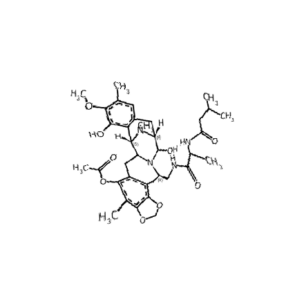 COc1c(C)cc2c(c1O)[C@H]1C3Cc4c(OC(C)=O)c(C)c5c(c4[C@H](CNC(=O)C(C)NC(=O)CC(C)C)N3C(O)[C@@H](C2)N1C)OCO5